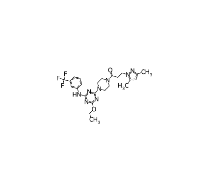 CCOc1nc(Nc2cccc(C(F)(F)F)c2)nc(N2CCN(C(=O)CCn3nc(C)cc3C)CC2)n1